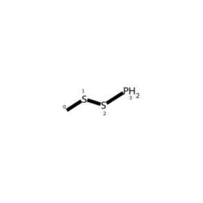 CSSP